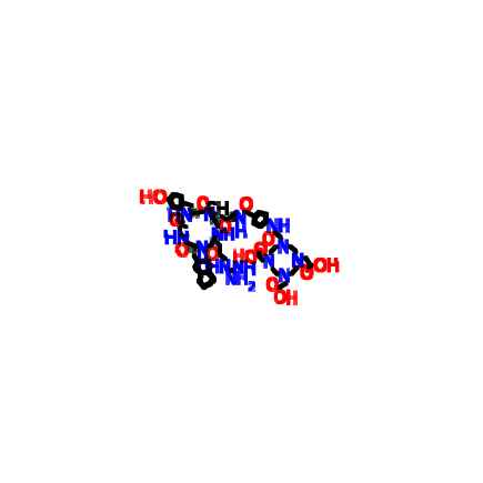 CN1C(=O)[C@@H](Cc2ccc(O)cc2)NC(=O)CNC(=O)[C@H](Cc2ccc3ccccc3c2)NC(=O)[C@H](CCCNC(=N)N)NC(=O)[C@H]1CCCNC(=O)c1ccc(NC(=O)CN2CCN(CC(=O)O)CCN(CC(=O)O)CCN(CC(=O)O)CC2)cc1